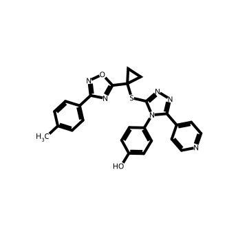 Cc1ccc(-c2noc(C3(Sc4nnc(-c5ccncc5)n4-c4ccc(O)cc4)CC3)n2)cc1